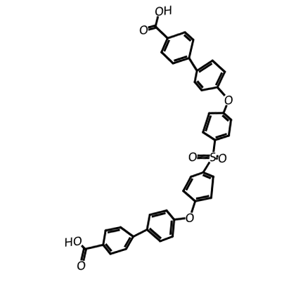 O=C(O)c1ccc(-c2ccc(Oc3ccc(S(=O)(=O)c4ccc(Oc5ccc(-c6ccc(C(=O)O)cc6)cc5)cc4)cc3)cc2)cc1